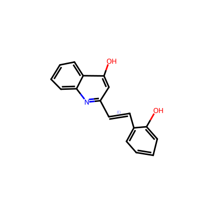 Oc1ccccc1/C=C/c1cc(O)c2ccccc2n1